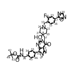 Cn1nc2c(=O)n(CC3(O)CCN(Cc4ccc(-c5ncno5)cc4F)CC3)cnc2c1-c1ccc(CNC(=O)OC(C)(C)C)cc1